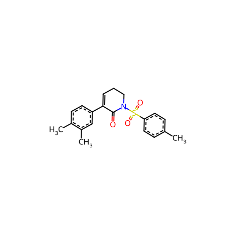 Cc1ccc(S(=O)(=O)N2CCC=C(c3ccc(C)c(C)c3)C2=O)cc1